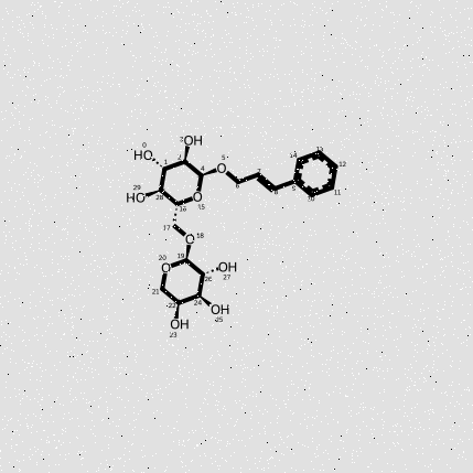 O[C@@H]1[C@@H](O)[C@@H](OCC=Cc2ccccc2)O[C@H](CO[C@@H]2OC[C@H](O)[C@H](O)[C@H]2O)[C@H]1O